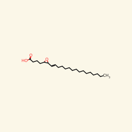 CCCCCCCCCCCCCC/C=C/C1OC1CCCC(=O)O